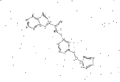 O=C(NCc1cccc(COc2ccccc2)c1)c1ccc2ncccc2c1